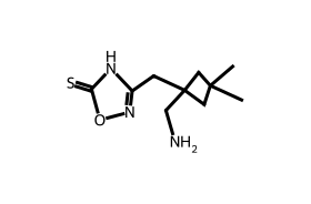 CC1(C)CC(CN)(Cc2noc(=S)[nH]2)C1